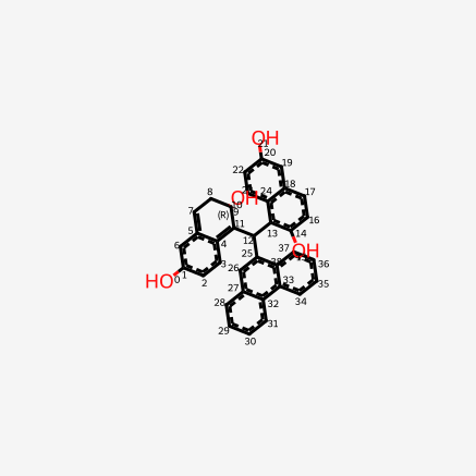 Oc1ccc2c(c1)=CC[C@@H](O)C=2C(c1c(O)ccc2cc(O)ccc12)c1cc2ccccc2c2ccccc12